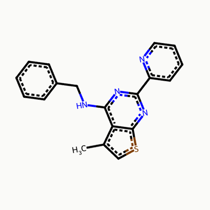 Cc1csc2nc(-c3ccccn3)nc(NCc3ccccc3)c12